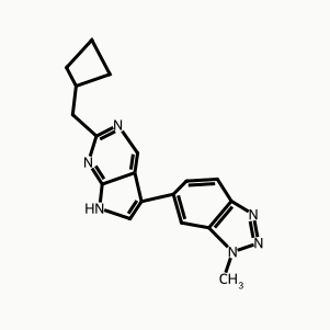 Cn1nnc2ccc(-c3c[nH]c4nc(CC5CCC5)ncc34)cc21